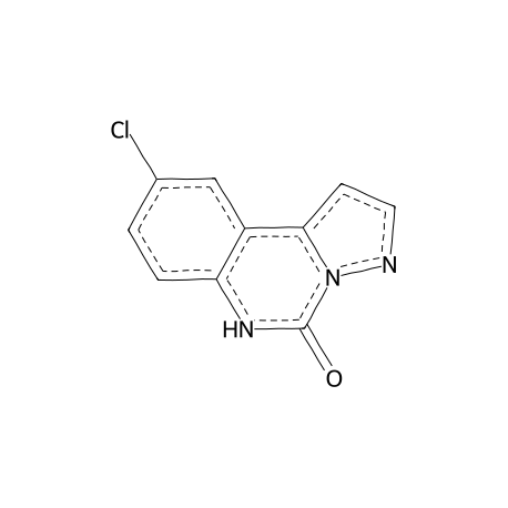 O=c1[nH]c2ccc(Cl)cc2c2ccnn12